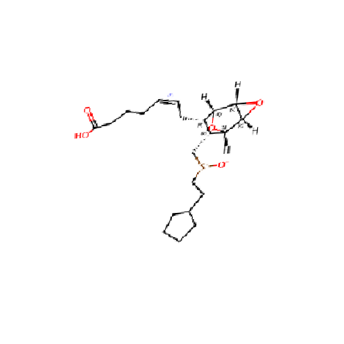 O=C(O)CCC/C=C\C[C@H]1[C@@H](C[S+]([O-])CCC2CCCC2)[C@@H]2O[C@H]1[C@@H]1O[C@@H]12